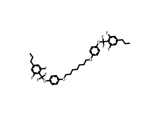 CCCc1cc(F)c(C(F)(F)Oc2ccc(OCCCCCCCOc3ccc(OC(F)(F)c4c(F)cc(CCC)cc4F)cc3)cc2)c(F)c1